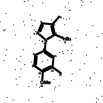 CCCCc1c(C)cnn1-c1ccc(OC)c(C)c1